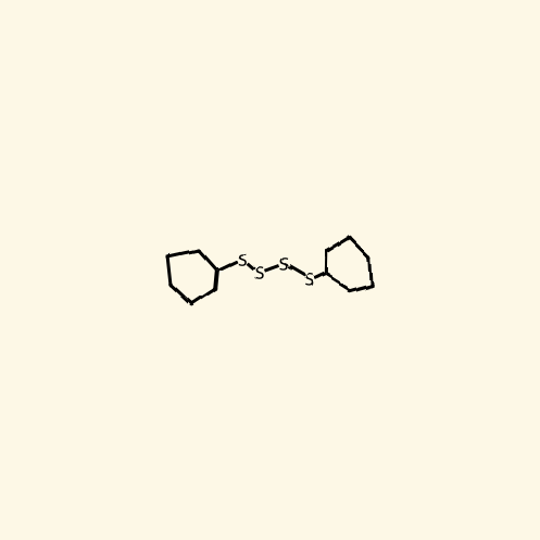 C1CCC(SSSSC2CCCCC2)CC1